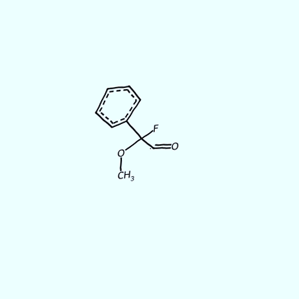 COC(F)([C]=O)c1ccccc1